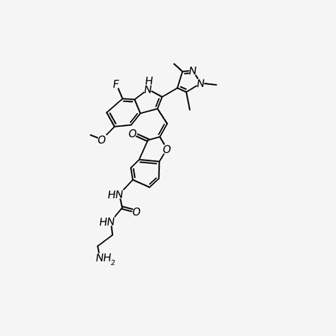 COc1cc(F)c2[nH]c(-c3c(C)nn(C)c3C)c(C=C3Oc4ccc(NC(=O)NCCN)cc4C3=O)c2c1